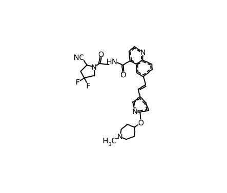 CN1CCC(Oc2ccc(C=Cc3ccc4nccc(C(=O)NCC(=O)N5CC(F)(F)CC5C#N)c4c3)cn2)CC1